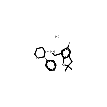 CC1(C)Cc2cc(F)cc(CN[C@H]3CCCN[C@H]3c3ccccc3)c2O1.Cl